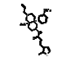 C=CCN1CC[C@@]2(c3cccc(OC)c3)C[C@@H](NC(=O)C=Cc3ccoc3C)CC[C@]2(OC(C)=O)C1